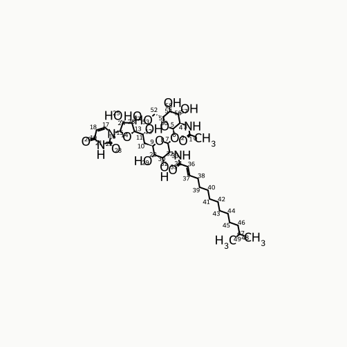 CC(=O)N[C@H]1[C@@H](O[C@@H]2O[C@H](C[C@@H](O)[C@H]3O[C@@H](n4ccc(=O)[nH]c4=O)[C@H](O)[C@@H]3O)[C@H](O)[C@H](O)[C@H]2NC(=O)/C=C/CCCCCCCCCC(C)C)O[C@H](CO)[C@@H](O)[C@@H]1O